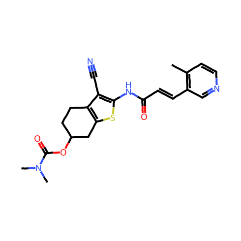 Cc1ccncc1C=CC(=O)Nc1sc2c(c1C#N)CCC(OC(=O)N(C)C)C2